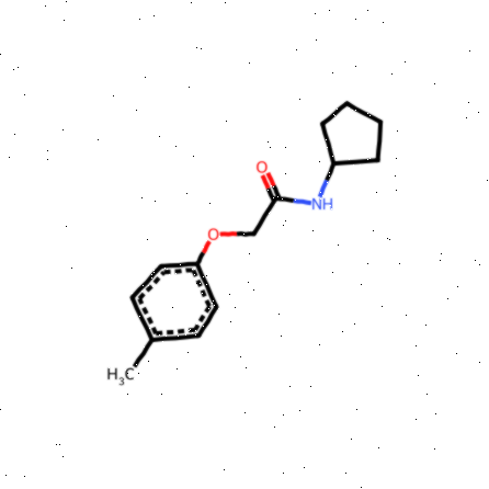 Cc1ccc(OCC(=O)NC2CCCC2)cc1